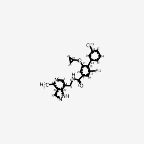 Cc1ncc(CNC(=O)c2cc(F)c(-c3cccc(Cl)c3)c(OC3CC3)c2)c2[nH]ncc12